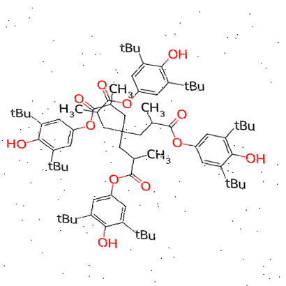 CC(CC(CC(C)C(=O)Oc1cc(C(C)(C)C)c(O)c(C(C)(C)C)c1)(CC(C)C(=O)Oc1cc(C(C)(C)C)c(O)c(C(C)(C)C)c1)CC(C)C(=O)Oc1cc(C(C)(C)C)c(O)c(C(C)(C)C)c1)C(=O)Oc1cc(C(C)(C)C)c(O)c(C(C)(C)C)c1